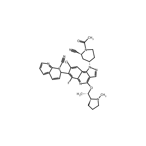 CC(=O)N1CC[C@H](n2ncc3c(O[C@@H](C)[C@@H]4CCCN4C)nc4c(F)c(C5C=Cc6cccnc6N5C#N)c(Cl)cc4c32)C[C@H]1C#N